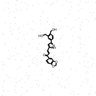 O=C(/C=C/c1cc(-c2ccc(CO)c(CO)c2)n[nH]1)c1ccc2c(c1)OCO2